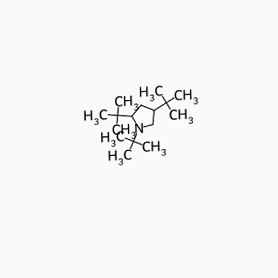 CC(C)(C)C1CC(C(C)(C)C)N(C(C)(C)C)C1